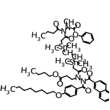 CCCC(=O)N(C(=O)[CH2][Sn]([CH3])([CH3])[CH3])N(C)C(=O)Oc1ccccc1.CCCCCCCCOc1ccc(C(=O)N(C(=O)c2ccc3ccccc3c2)N(CCC(=O)OCCCC)C(=O)[CH2][Sn]([CH3])([CH3])[CH3])cc1